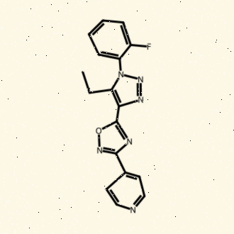 CCc1c(-c2nc(-c3ccncc3)no2)nnn1-c1ccccc1F